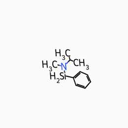 CC(C)N(C)[SiH2]c1ccccc1